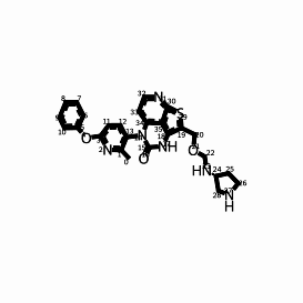 Cc1nc(Oc2ccccc2)ccc1N1C(=O)Nc2c(COCN[C@@H]3CCNC3)sc3nccc1c23